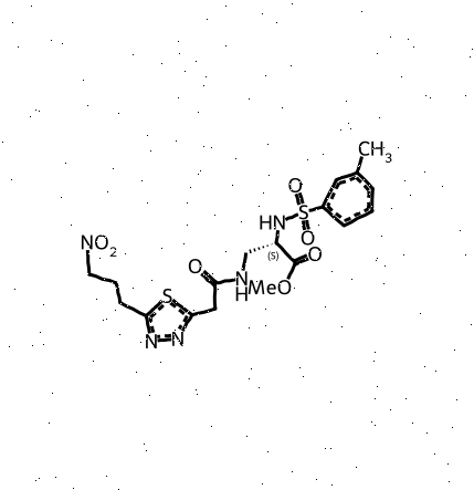 COC(=O)[C@H](CNC(=O)Cc1nnc(CCC[N+](=O)[O-])s1)NS(=O)(=O)c1cccc(C)c1